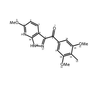 COc1ccc2c(C(=O)c3cc(OC)c(C)c(OC)c3)n[nH]c2n1